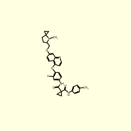 Cc1ccc(NC(=O)C2(C(=O)Nc3ccc(Oc4ccnc5cc(OCC6CCC7(CC7)N6C)ccc45)c(F)c3)CC2)cc1